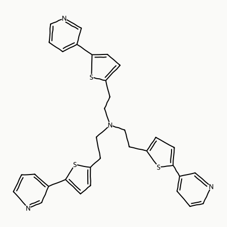 c1cncc(-c2ccc(CCN(CCc3ccc(-c4cccnc4)s3)CCc3ccc(-c4cccnc4)s3)s2)c1